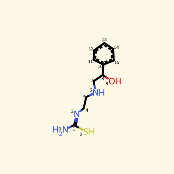 NC(S)=NCCNCC(O)c1ccccc1